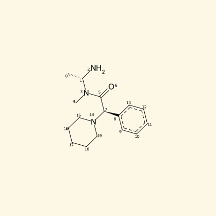 C[C@H](N)N(C)C(=O)[C@@H](c1ccccc1)N1CCCCC1